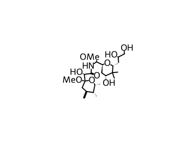 C=C1C[C@](OC)([C@H](O)C(=O)N[C@@H](OC)[C@@H]2C[C@@H](O)C(C)(C)[C@@H](C[C@H](O)CO)O2)O[C@H](C)[C@@H]1C